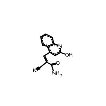 N#CC(=Cc1cc(O)nc2ccccc12)C(N)=O